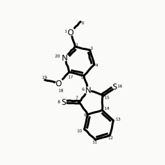 COc1ccc(N2C(=S)c3ccccc3C2=S)c(OC)n1